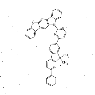 CC1(C)c2cc(-c3ccccc3)ccc2-c2ccc(-c3ccnc(-n4c5ccccc5c5cc6sc7ccccc7c6cc54)n3)cc21